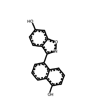 Oc1ccc2c(-c3cccc4c(O)cccc34)noc2c1